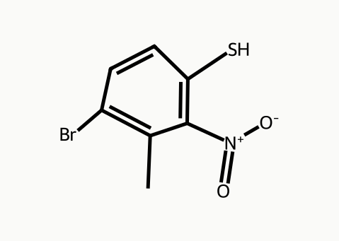 Cc1c(Br)ccc(S)c1[N+](=O)[O-]